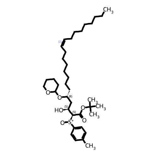 CCCCCCCC/C=C\CCCCCCC[C@H](C[C@H](O)[C@@H](C(=O)OC(C)(C)C)[S+]([O-])c1ccc(C)cc1)OC1CCCCO1